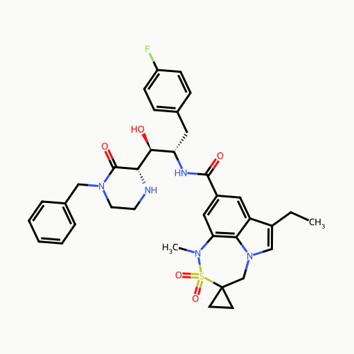 CCc1cn2c3c(cc(C(=O)N[C@@H](Cc4ccc(F)cc4)[C@H](O)[C@@H]4NCCN(Cc5ccccc5)C4=O)cc13)N(C)S(=O)(=O)C1(CC1)C2